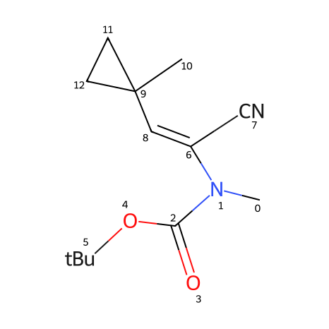 CN(C(=O)OC(C)(C)C)C(C#N)=CC1(C)CC1